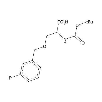 CC(C)(C)OC(=O)NC(COCc1cccc(F)c1)C(=O)O